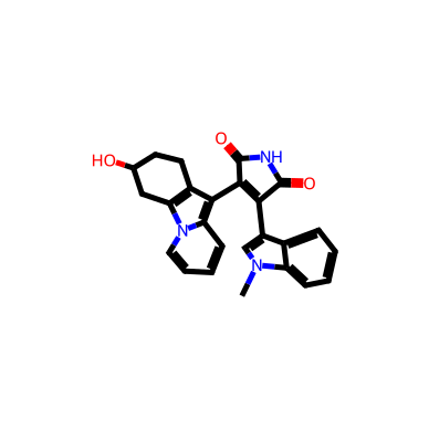 Cn1cc(C2=C(c3c4c(n5ccccc35)CC(O)CC4)C(=O)NC2=O)c2ccccc21